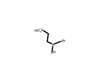 CCCN(CCC)CCS(=O)(=O)O